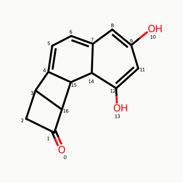 O=C1CC2C3=CC=C4C=C(O)C=C(O)C4C3C12